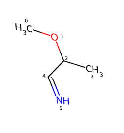 COC(C)[C]=N